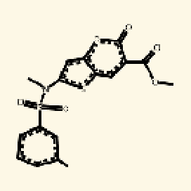 COC(=O)c1cc2sc(N(C)S(=O)(=O)c3cccc(C)c3)cc2oc1=O